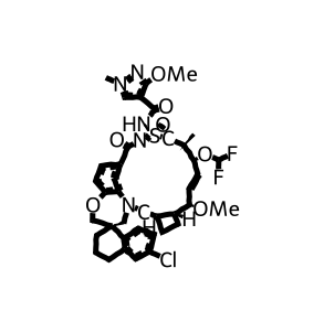 COc1nn(C)cc1C(=O)N[S@@]1(=O)=NC(=O)c2ccc3c(c2)N(C[C@@H]2CC[C@H]2[C@@H](OC)/C=C/[C@H](OC(F)F)[C@H](C)C1)C[C@@]1(CCCc2cc(Cl)ccc21)CO3